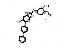 OC[C@H]1CC[C@@H](Sc2nc3nc(-c4ccc(-c5ccccc5)cc4)c(Cl)cc3[nH]2)C[C@@H]1O